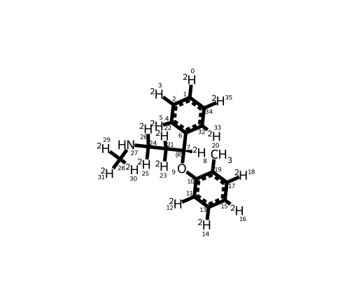 [2H]c1c([2H])c([2H])c([C@]([2H])(Oc2c([2H])c([2H])c([2H])c([2H])c2C)C([2H])([2H])C([2H])([2H])NC([2H])([2H])[2H])c([2H])c1[2H]